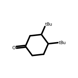 CC(C)(C)C1CCC(=O)CC1C(C)(C)C